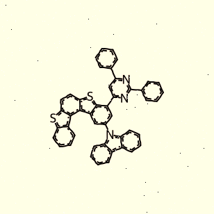 c1ccc(-c2cc(-c3cc(-n4c5ccccc5c5ccccc54)cc4c3sc3ccc5sc6ccccc6c5c34)nc(-c3ccccc3)n2)cc1